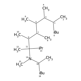 CCC(C)C(C)C(C)C(C)C(C)C(C)C(C)(C(C)C)N(C)C(C)C(C)CC